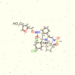 CS(=O)(=O)N1C=C2c3ccccc3[C@@H](C(=O)NOCc3cc(C(=O)O)co3)[C@H](c3ccc(Cl)cc3Cl)N2[C@H]2CCCC[C@@H]21